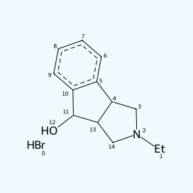 Br.CCN1CC2c3ccccc3C(O)C2C1